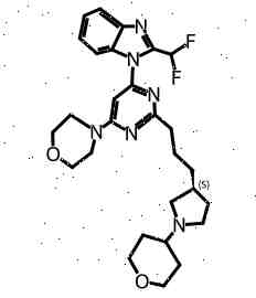 FC(F)c1nc2ccccc2n1-c1cc(N2CCOCC2)nc(CCC[C@H]2CCN(C3CCOCC3)C2)n1